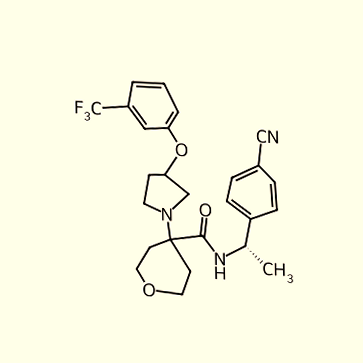 C[C@H](NC(=O)C1(N2CCC(Oc3cccc(C(F)(F)F)c3)C2)CCOCC1)c1ccc(C#N)cc1